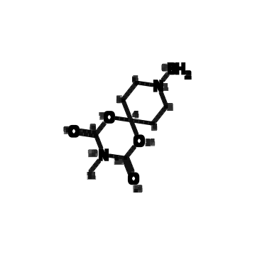 BN1CCC2(CC1)OC(=O)N(C)C(=O)O2